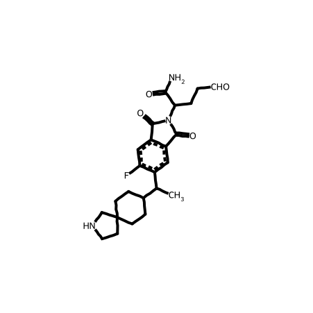 CC(c1cc2c(cc1F)C(=O)N(C(CCC=O)C(N)=O)C2=O)C1CCC2(CCNC2)CC1